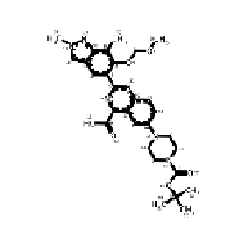 COCOc1c(-c2nc(C(=O)O)c3cc(N4CCN(C(=O)OC(C)(C)C)CC4)ccc3n2)cc2cn(C)nc2c1C